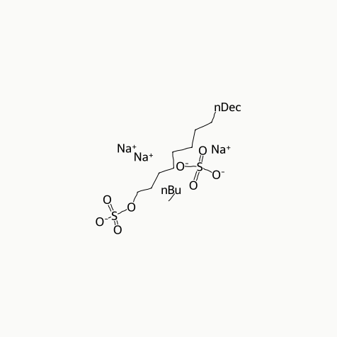 CCCCC.CCCCCCCCCCCCCCCCCCOS(=O)(=O)[O-].O=S(=O)([O-])[O-].[Na+].[Na+].[Na+]